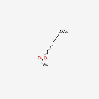 CC(=O)CC(=O)OCCCCCCCCCCCOC(C)=O